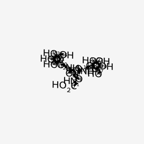 O=C(O)CNC(=O)CN(CC(=O)NCCO[C@H]1O[C@H](CO)[C@@H](O)[C@H](O)[C@@H]1O)CC(=O)NCCO[C@H]1O[C@H](CO)[C@@H](O)[C@H](O)[C@@H]1O